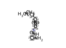 CN(C)Cc1cccc(-c2ccc(S(=O)(=O)n3ccc(/C=C/C(=O)Nc4ccccc4N)c3)s2)c1